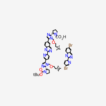 Brc1ccc(-c2ncc3cc(Br)ccc3n2)nc1.CC(C)(C)OC(=O)N1CCC[C@H]1c1ncc(-c2ccc(-c3ncc4cc(-c5cnc([C@@H]6CCCN6C(=O)O)n5COCC[Si](C)(C)C)ccc4n3)nc2)n1COCC[Si](C)(C)C